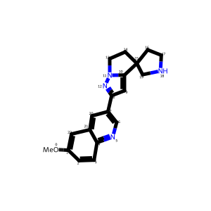 COc1ccc2ncc(-c3cc4n(n3)CCC43CCNC3)cc2c1